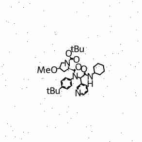 CO[C@@H]1C[C@H](C(=O)N(c2ccc(C(C)(C)C)cc2)C(C(=O)NC2CCCCC2)c2cccnc2)N(C(=O)OC(C)(C)C)C1